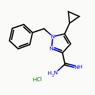 Cl.N=C(N)c1cc(C2CC2)n(Cc2ccccc2)n1